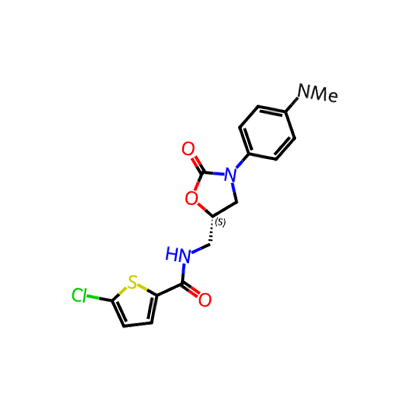 CNc1ccc(N2C[C@H](CNC(=O)c3ccc(Cl)s3)OC2=O)cc1